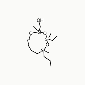 CCC[Si]1(C)CCCCO[Si](C)(CO)O[Si](C)(CC)O1